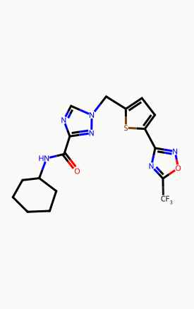 O=C(NC1CCCCC1)c1ncn(Cc2ccc(-c3noc(C(F)(F)F)n3)s2)n1